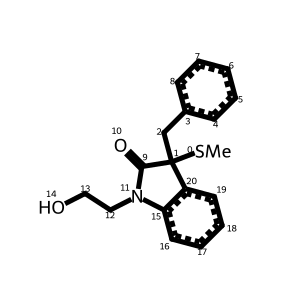 CSC1(Cc2ccccc2)C(=O)N(CCO)c2ccccc21